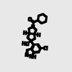 O=C(C1CCCCC1)N1C[C@@H]2C[C@](O)(c3cc(Cl)cc4[nH]ncc34)C[C@@H]2C1